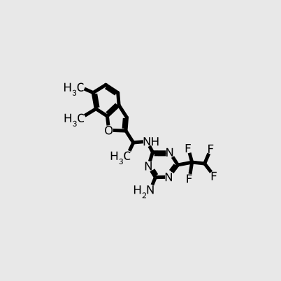 Cc1ccc2cc(C(C)Nc3nc(N)nc(C(F)(F)C(F)F)n3)oc2c1C